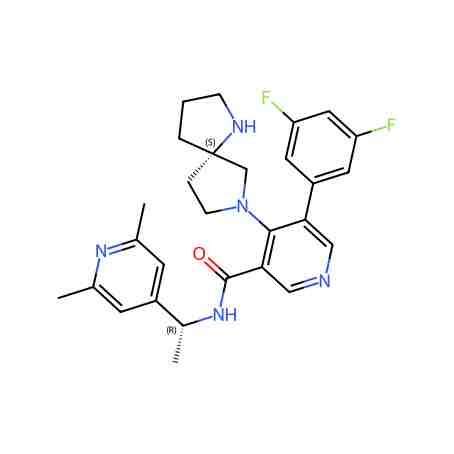 Cc1cc([C@@H](C)NC(=O)c2cncc(-c3cc(F)cc(F)c3)c2N2CC[C@@]3(CCCN3)C2)cc(C)n1